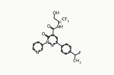 CC(F)c1ccc(-c2cc(C(=O)N[C@H](CO)C(F)(F)F)c(=O)n(-c3cccnc3)n2)cc1